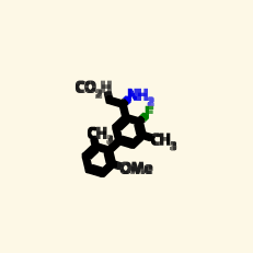 COc1cccc(C)c1-c1cc(C)c(F)c(C(N)CC(=O)O)c1